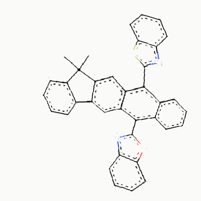 CC1(C)c2ccccc2-c2cc3c(-c4nc5ccccc5o4)c4ccccc4c(-c4nc5ccccc5s4)c3cc21